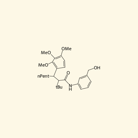 CCCCCC(c1ccc(OC)c(OC)c1OC)C(C(=O)Nc1cccc(CO)c1)C(C)(C)C